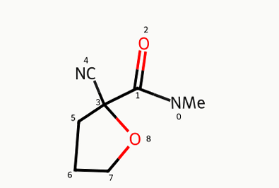 CNC(=O)C1(C#N)CCCO1